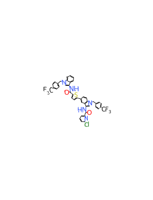 O=C(Nc1cn(Cc2ccc(C(F)(F)F)cc2)c2ccc(-c3ccc(C(=O)Nc4cn(Cc5ccc(C(F)(F)F)cc5)c5ccccc45)s3)cc12)c1cccc(Cl)n1